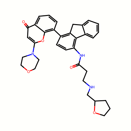 O=C(CCNCC1CCCO1)Nc1ccc(-c2cccc3c(=O)cc(N4CCOCC4)oc23)c2c1-c1ccccc1C2